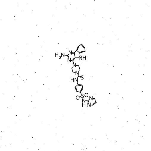 Nc1nc(N2CCN(C(=S)Nc3ccc(S(=O)(=O)Nc4ncccn4)cc3)CC2)c2[nH]c3ccccc3c2n1